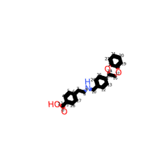 O=C(O)c1ccc(CCNCc2ccc([C@H]3COc4ccccc4O3)cc2)cc1